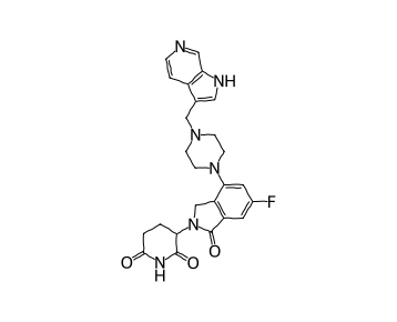 O=C1CCC(N2Cc3c(cc(F)cc3N3CCN(Cc4c[nH]c5cnccc45)CC3)C2=O)C(=O)N1